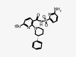 CC(C)(C)c1ccc(C(=O)NS(=O)(=O)c2cccc(N)n2)c(N2CCC[C@H](c3ccccc3)C2)n1